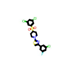 O=S(=O)(c1cc(Cl)cc(Cl)c1)C1CCN(c2nc(-c3cc(F)cc(Cl)c3)cs2)CC1